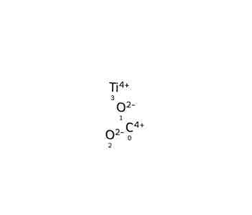 [C+4].[O-2].[O-2].[Ti+4]